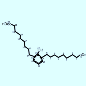 CCCCCCCCCCCCCCCCCCc1cccc(CCCCCCCCCCCCCCCCCC)c1O